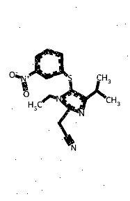 CCn1c(CC#N)nc(C(C)C)c1Sc1cccc([N+](=O)[O-])c1